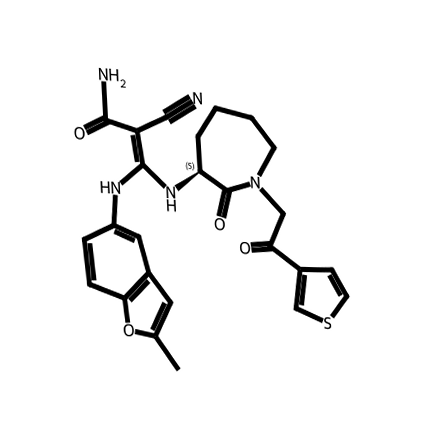 Cc1cc2cc(NC(N[C@H]3CCCCN(CC(=O)c4ccsc4)C3=O)=C(C#N)C(N)=O)ccc2o1